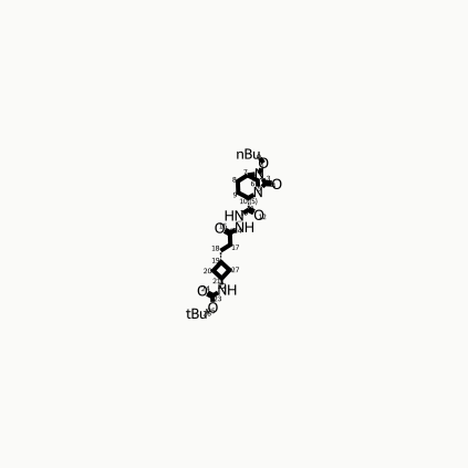 CCCCON1C(=O)N2CC1CC[C@H]2C(=O)NNC(=O)CC[C@H]1C[C@H](NC(=O)OC(C)(C)C)C1